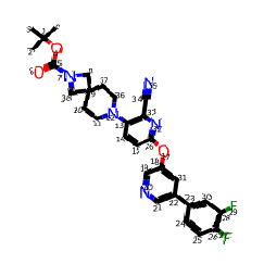 CC(C)(C)OC(=O)N1CC2(CCN(c3ccc(Oc4cncc(-c5ccc(F)c(F)c5)c4)nc3C#N)CC2)C1